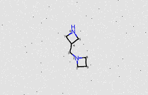 C1CN(CC2CNC2)C1